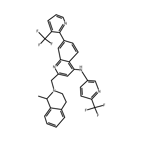 CC1c2ccccc2CCN1Cc1cc(Nc2ccc(C(F)(F)F)nc2)c2ccc(-c3ncccc3C(F)(F)F)cc2n1